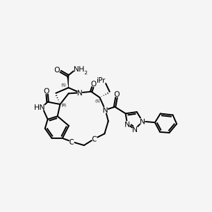 CC(C)C[C@H]1C(=O)N2C[C@]3(C[C@H]2C(N)=O)C(=O)Nc2ccc(cc23)CCCCCN1C(=O)c1cn(-c2ccccc2)nn1